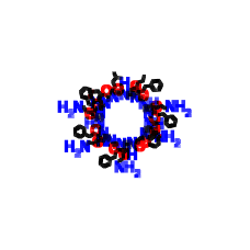 CCCCC[C@@H]1NC(=O)N(C(=O)CCC(C)C)C(Cc2ccccc2)NC(=O)N(C(=O)CCc2ccccc2)[C@H](CCCCN)NC(=O)N(C(=O)CCc2ccccc2)[C@H](CCCCN)NC(=O)N(C(=O)CCc2ccccc2)[C@H](CCCCN)NC(=O)C(=O)N(CC(N)=O)[C@H](Cc2ccccc2)NC(=O)N(C(=O)CCc2ccccc2)[C@H](CCCCN)NC(=O)N1C(=O)CCc1ccccc1